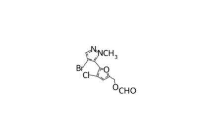 Cn1ncc(Br)c1-c1oc(COC=O)cc1Cl